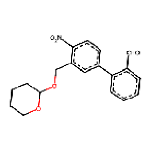 O=Cc1ccccc1-c1ccc([N+](=O)[O-])c(COC2CCCCO2)c1